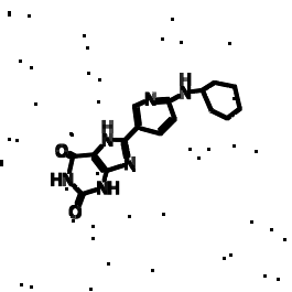 O=c1[nH]c(=O)c2[nH]c(-c3ccc(NC4CCCCC4)nc3)nc2[nH]1